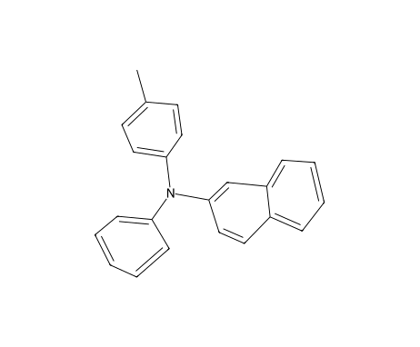 Cc1ccc(N(c2ccccc2)c2ccc3ccccc3c2)cc1